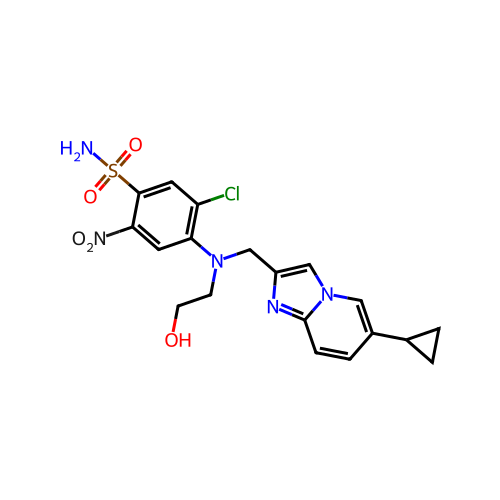 NS(=O)(=O)c1cc(Cl)c(N(CCO)Cc2cn3cc(C4CC4)ccc3n2)cc1[N+](=O)[O-]